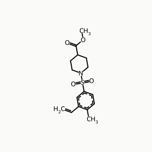 C=Cc1cc(S(=O)(=O)N2CCC(C(=O)OC)CC2)ccc1C